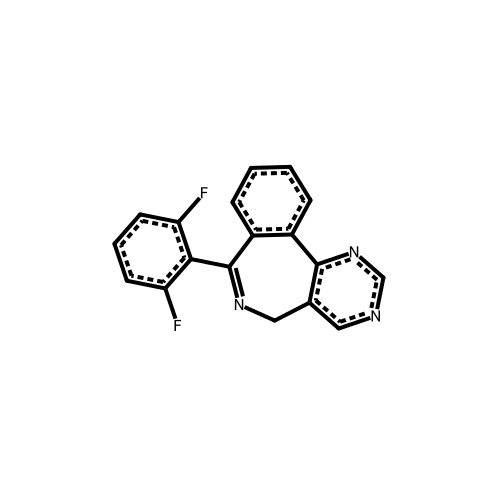 Fc1cccc(F)c1C1=NCc2cncnc2-c2ccccc21